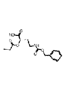 CCC(=O)O[C@@H](CCNC(=O)OCc1ccccc1)C(=O)O